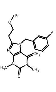 C=C1c2c(nc(CCOCCC)n2Cc2cccc(C(C)=O)c2)N(C)C(=O)N1C